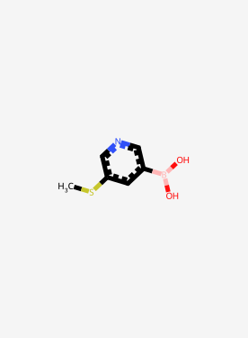 CSc1cncc(B(O)O)c1